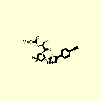 C#Cc1ccc(-c2c[nH]c([C@@H]3CC(F)(F)CN3C(=O)C(NC(=O)OC)C(C)C)n2)cc1